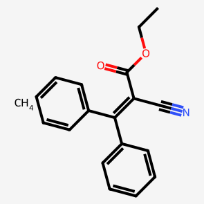 C.CCOC(=O)C(C#N)=C(c1ccccc1)c1ccccc1